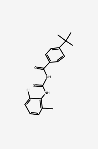 Cc1cccc(Cl)c1NC(=S)NC(=O)c1ccc(C(C)(C)C)cc1